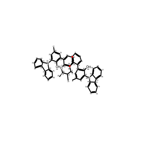 Cc1cc(-c2ccccc2OC(C)C(C)[C@@H](C)Oc2ccccc2-c2cc(C)cc(-n3c4ccccc4c4ccccc43)c2O)c(O)c(-n2c3ccccc3c3ccccc32)c1